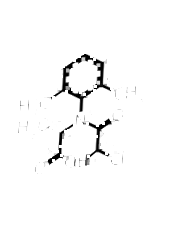 Cc1cccc(C)c1N(C(=O)C(Cl)Cl)[C@@H](C)C(=O)O